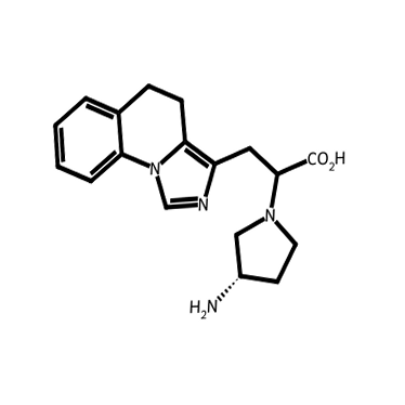 N[C@H]1CCN(C(Cc2ncn3c2CCc2ccccc2-3)C(=O)O)C1